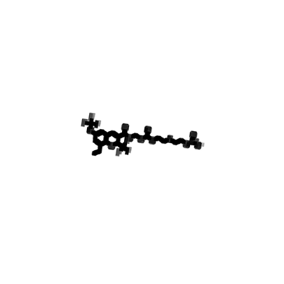 CCc1cc(OC(F)(F)F)cc2c1OC(C(F)(F)F)C(C(=O)OCOC(=O)OCCSCCO[N+](=O)[O-])=C2